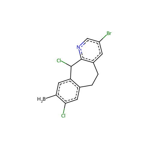 Bc1cc2c(cc1Cl)CCc1cc(Br)cnc1C2Cl